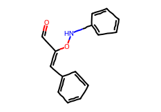 O=CC(=Cc1ccccc1)ONc1ccccc1